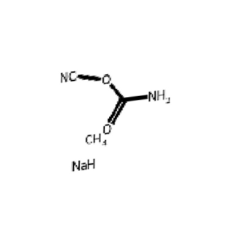 C.N#COC(N)=O.[NaH]